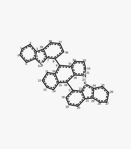 c1ccc2c(c1)sc1c(-c3c4ccccc4c(-c4cccc5c4sc4ccccc45)c4ncccc34)cccc12